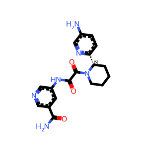 NC(=O)c1cncc(NC(=O)C(=O)N2CCCC[C@H]2c2ccc(N)cn2)c1